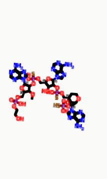 COC1C(OP(O)(=S)OC[C@H]2O[C@@H](n3cnc4c(N)ncnc43)C(OP(O)(=S)OC[C@@]34CCOC(C3OP(=O)(O)S)[C@H](n3cnc5c(N)ncnc53)O4)C2O)[C@H](n2cnc3c(N)ncnc32)O[C@@H]1COP(=O)(O)OCCO